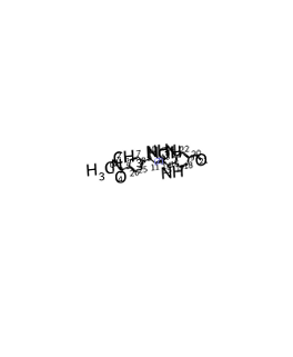 CN(C)C(=O)c1ccc(C(=N)/C=C(\O)C(=N)c2ccc(C=O)cc2N)cc1